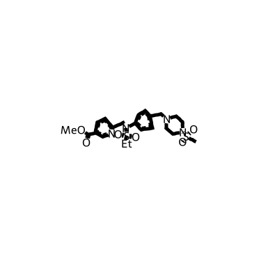 CCS(=O)(=O)N(Cc1ccc(C(=O)OC)cn1)c1ccc(CN2CCN(S(C)(=O)=O)CC2)cc1